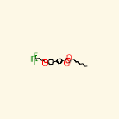 CCCCCCC[C@@H]1CO[C@@H](c2ccc(-c3ccc(OCCCC(F)(F)F)cc3)cc2)CO1